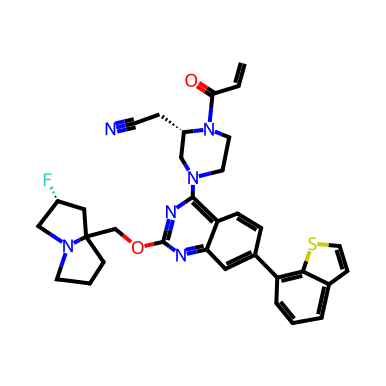 C=CC(=O)N1CCN(c2nc(OCC34CCCN3C[C@H](F)C4)nc3cc(-c4cccc5ccsc45)ccc23)C[C@@H]1CC#N